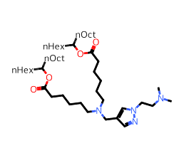 CCCCCCCCC(CCCCCC)OC(=O)CCCCCN(CCCCCC(=O)OC(CCCCCC)CCCCCCCC)Cc1cnn(CCN(C)C)c1